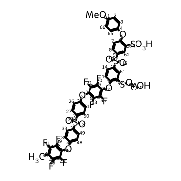 COc1ccc(Oc2ccc(S(=O)(=O)c3ccc(Oc4c(F)c(F)c(Oc5ccc(S(=O)(=O)c6ccc(Oc7c(F)c(F)c(C)c(F)c7F)cc6)cc5)c(F)c4F)c(SOOO)c3)cc2S(=O)(=O)O)cc1